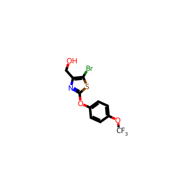 OCc1nc(Oc2ccc(OC(F)(F)F)cc2)sc1Br